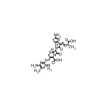 CC1=C(N)N=C(SCC2=C(C(=O)O)N3C(=O)C(NC(=O)/C(=N\OC(C)C(=O)O)c4csc(N)n4)[C@@H]3SC2)N(N)C1